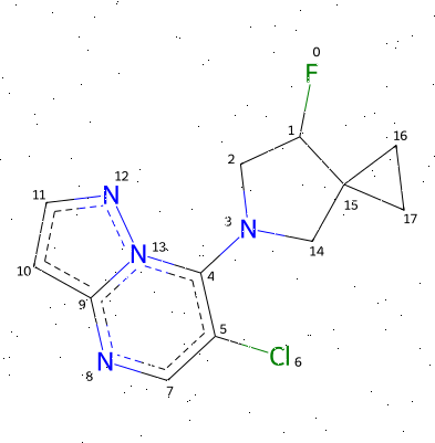 FC1CN(c2c(Cl)cnc3ccnn23)CC12CC2